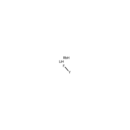 [F][Y].[LiH].[RbH]